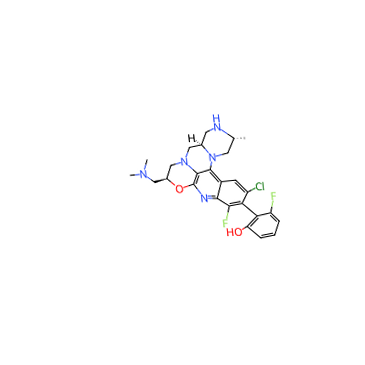 C[C@@H]1CN2c3c4c(nc5c(F)c(-c6c(O)cccc6F)c(Cl)cc35)O[C@@H](CN(C)C)CN4C[C@H]2CN1